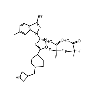 Cc1ccc2c(C(C)C)nn(-c3noc(C4CCN(CC5CNC5)CC4)n3)c2c1.O=C(O)C(F)(F)F.O=C(O)C(F)(F)F